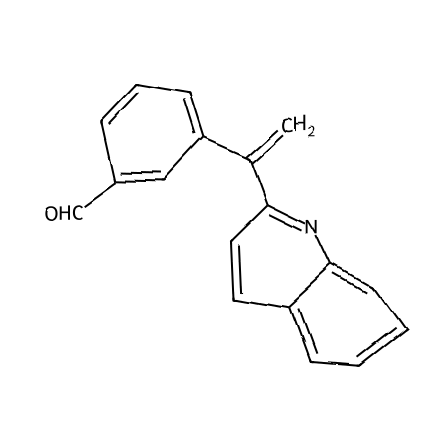 C=C(c1cccc(C=O)c1)c1ccc2ccccc2n1